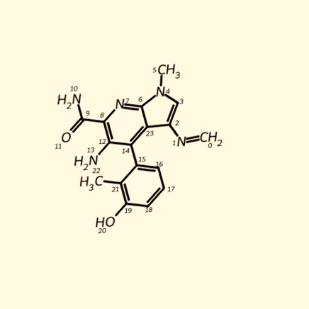 C=Nc1cn(C)c2nc(C(N)=O)c(N)c(-c3cccc(O)c3C)c12